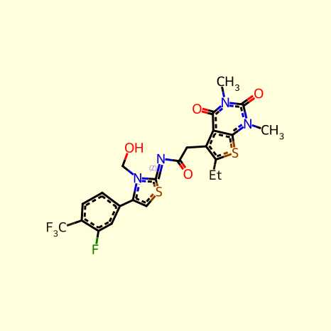 CCc1sc2c(c1CC(=O)/N=c1\scc(-c3ccc(C(F)(F)F)c(F)c3)n1CO)c(=O)n(C)c(=O)n2C